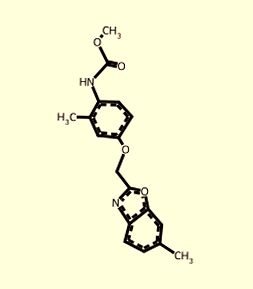 COC(=O)Nc1ccc(OCc2nc3ccc(C)cc3o2)cc1C